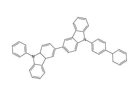 C1=CCC(c2ccc(-n3c4ccccc4c4cc(C5=CC6c7ccccc7N(c7ccccc7)C6C=C5)ccc43)cc2)C=C1